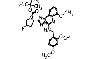 COc1ccc(CNc2nc3c(OC)cccc3c3nc([C@@H]4C[C@@H](F)CN4C(=O)OC(C)(C)C)nn23)c(OC)c1